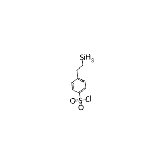 O=S(=O)(Cl)c1ccc(CC[SiH3])cc1